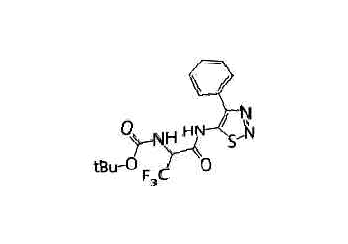 CC(C)(C)OC(=O)NC(C(=O)Nc1snnc1-c1ccccc1)C(F)(F)F